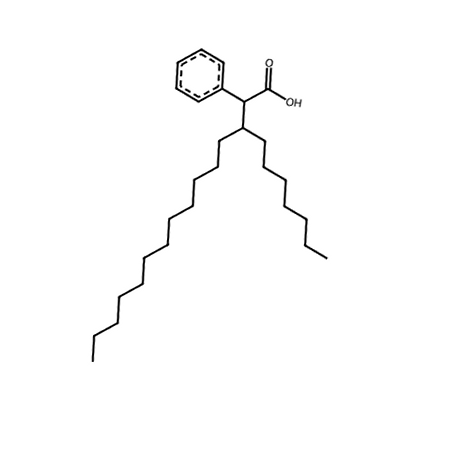 CCCCCCCCCCCCC(CCCCCCC)C(C(=O)O)c1ccccc1